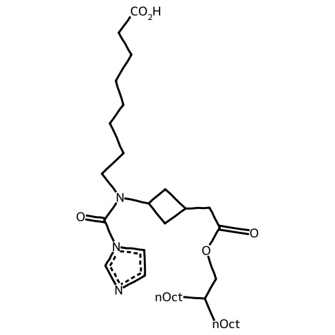 CCCCCCCCC(CCCCCCCC)COC(=O)CC1CC(N(CCCCCCCC(=O)O)C(=O)n2ccnc2)C1